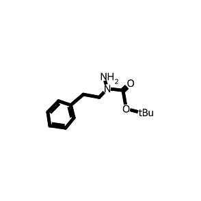 CC(C)(C)OC(=O)N(N)CCc1ccccc1